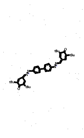 CC(C)(C)C1=CC(=C/N=N/c2ccc(-c3ccc(/N=N/C=C4C=C(C(C)(C)C)C(=O)C(C(C)(C)C)=C4)cc3)cc2)C=C(C(C)(C)C)C1=O